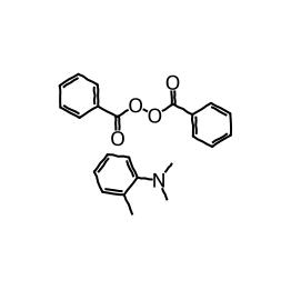 Cc1ccccc1N(C)C.O=C(OOC(=O)c1ccccc1)c1ccccc1